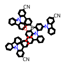 N#Cc1ccc(N2c3ccccc3C3C=CC=CC32)c(-c2ccc(-c3cc4c5c(c3)N(c3ccccc3-c3ccccc3)c3cc(-n6c7ccccc7c7cc(C#N)ccc76)ccc3B5c3ccc(-c5cc(C#N)ccc5-n5c6ccccc6c6ccccc65)cc3O4)cc2)c1